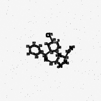 N#Cc1nnc2n1-c1ccc(Cl)cc1C(c1ccccc1)=NC2